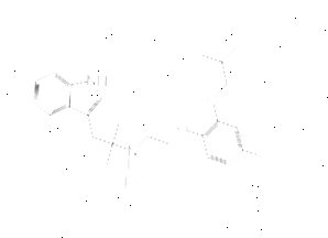 CC(C)COc1cc(F)ccc1OCCNC(C)(C)Cc1c[nH]c2ccccc12.Cl